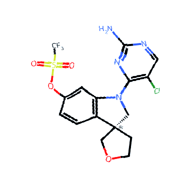 Nc1ncc(Cl)c(N2C[C@@]3(CCOC3)c3ccc(OS(=O)(=O)C(F)(F)F)cc32)n1